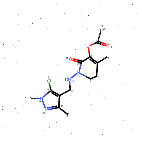 CCCC(=O)OC1=C(C)CCN(NCc2c(C)nn(C)c2Cl)C1=O